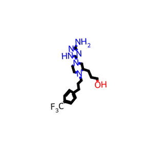 Nc1n[nH]c(N2CCN(CCCc3ccc(C(F)(F)F)cc3)C(CCCO)C2)n1